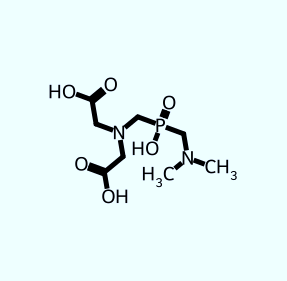 CN(C)CP(=O)(O)CN(CC(=O)O)CC(=O)O